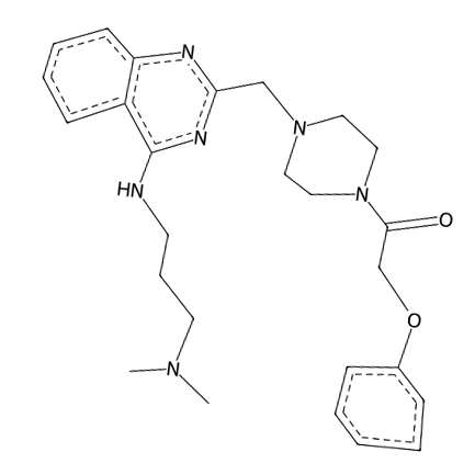 CN(C)CCCNc1nc(CN2CCN(C(=O)COc3ccccc3)CC2)nc2ccccc12